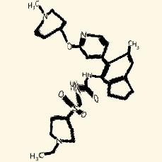 CCN1CCC(S(=O)(=O)NC(=O)Nc2c3c(cc(C)c2-c2ccnc(OC4CCN(C)CC4)c2)CCC3)CC1